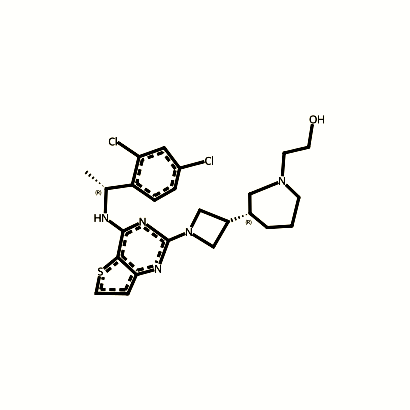 C[C@@H](Nc1nc(N2CC([C@H]3CCCN(CCO)C3)C2)nc2ccsc12)c1ccc(Cl)cc1Cl